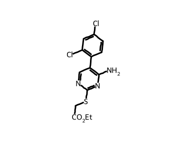 CCOC(=O)CSc1ncc(-c2ccc(Cl)cc2Cl)c(N)n1